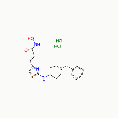 Cl.Cl.O=C(C=Cc1csc(NC2CCN(Cc3ccccc3)CC2)n1)NO